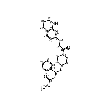 COC(=O)CC(CC1CCN(C(=O)CCc2ccc3c(n2)NCCC3)CC1)c1ccccc1